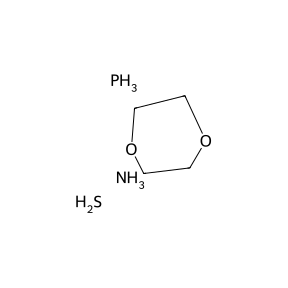 C1COCCO1.N.P.S